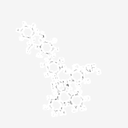 C=C1c2ccccc2Sc2ccc(-c3ccc(-c4nc5c6ccccc6c6ccccc6c5n4-c4ccc(C(F)(F)F)cc4)cc3)cc21